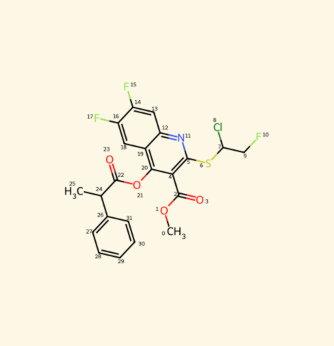 COC(=O)c1c(SC(Cl)CF)nc2cc(F)c(F)cc2c1OC(=O)C(C)c1ccccc1